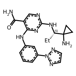 CC[C@H](Nc1ncc(C(N)=O)c(Nc2cccc(-n3nccn3)c2)n1)C1(N)CC1